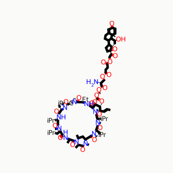 C/C=C/C[C@@H](C)[C@@H](OC(=O)OCOC(=O)[C@H](N)COC(=O)CCC(=O)OCC(=O)[C@@]12CCC3C4CCC5=CC(=O)C=C[C@]5(C)C4[C@@H](O)C[C@@]31O2)C1C(=O)NC(CC)C(=O)N(C)CC(=O)N(C)[C@@H](CC(C)C)C(=O)NC(C(C)C)C(=O)N(C)C(CC(C)C)C(=O)NC(C)C(=O)N2C(C)CC(C(=O)N(C)C(CC(C)C)C(=O)N(C)C(C(C)C)C(=O)N1C)N(C)C(=O)C2C